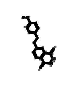 COc1ccc(CCc2ccc3c(=O)[nH][nH]c(=O)c3c2)cc1